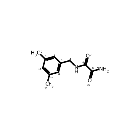 Cc1cc(CNC(=O)C(N)=O)cc(C(F)(F)F)c1